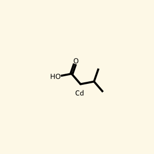 CC(C)CC(=O)O.[Cd]